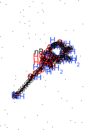 CCCC[C@H](NC(=O)[C@@H](NC(=O)[C@H](Cc1c[nH]cn1)NC(=O)[C@H](CCC(N)=O)NC(=O)[C@H](CO)NC(=O)CNC(=O)COCCOCCNC(=O)CCCCCCCCCCCCCCCc1nnn[nH]1)C(C)O)C(=O)N[C@H]1CCC(=O)NCCCC[C@@H](C(N)=O)NC(=O)[C@H](Cc2c[nH]c3ccccc23)NC(=O)[C@H](CCCNC(=N)N)NC(=O)[C@@H](Cc2ccccc2)NC(=O)[C@@H]2C[C@@H](O)CN2C1=O